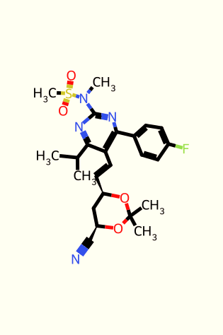 CC(C)c1nc(N(C)S(C)(=O)=O)nc(-c2ccc(F)cc2)c1/C=C/[C@@H]1C[C@H](C#N)OC(C)(C)O1